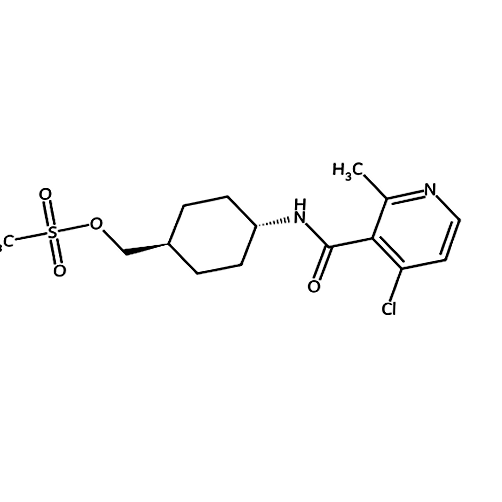 Cc1nccc(Cl)c1C(=O)N[C@H]1CC[C@H](COS(C)(=O)=O)CC1